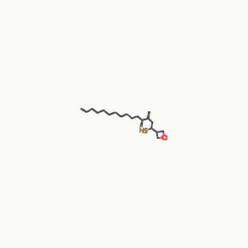 C=C(CCCCCCCCCCC)C(=C)CC(S)C1COC1